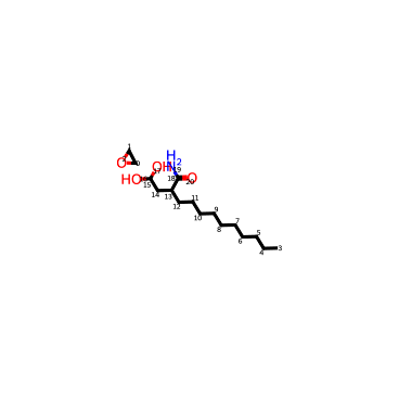 C1CO1.CCCCCCCCCCC(CC(O)O)C(N)=O